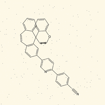 N#Cc1ccc(-c2ccc(-c3ccc4c(c3)C3(c5ccccc5C=C4)c4ccccc4Oc4ccccc43)cn2)cc1